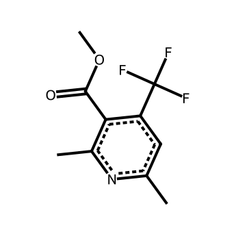 COC(=O)c1c(C(F)(F)F)cc(C)nc1C